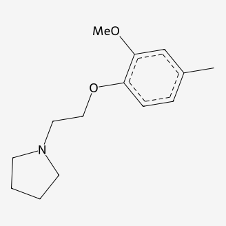 COc1cc(C)ccc1OCCN1CCCC1